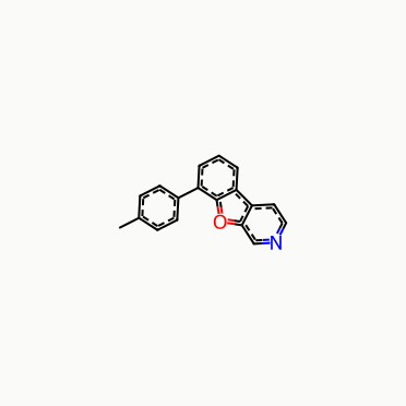 Cc1ccc(-c2cccc3c2oc2cnccc23)cc1